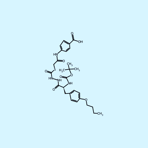 CCCCOc1ccc(C[C@H](NC(=O)OC(C)(C)C)C(=O)NNC(=O)SCC(=O)Nc2ccc(C(=O)O)cc2)cc1